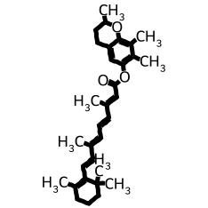 CC1=C(/C=C/C(C)=C/C=C/C(C)=C/C(=O)Oc2cc3c(c(C)c2C)OC(C)CC3)C(C)(C)CCC1